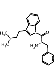 CN(C)CCc1cn(C(=O)[C@@H](N)Cc2ccccc2)c2ccccc12